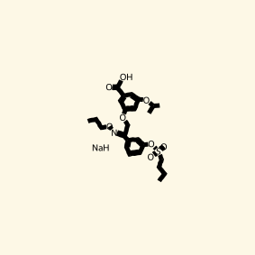 CCCCS(=O)(=O)Oc1cccc(C(COc2cc(OC(C)C)cc(C(=O)O)c2)=NOCCC)c1.[NaH]